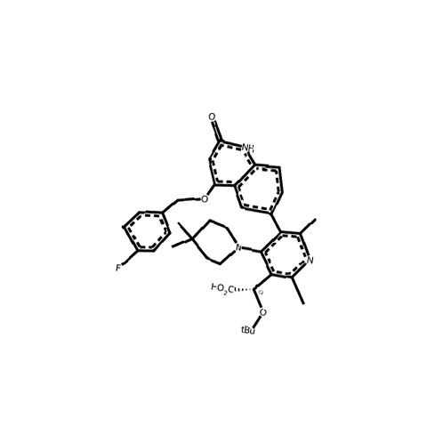 Cc1nc(C)c([C@H](OC(C)(C)C)C(=O)O)c(N2CCC(C)(C)CC2)c1-c1ccc2[nH]c(=O)cc(OCc3ccc(F)cc3)c2c1